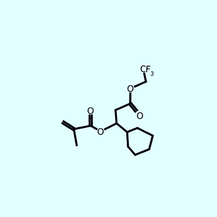 C=C(C)C(=O)OC(CC(=O)OCC(F)(F)F)C1CCCCC1